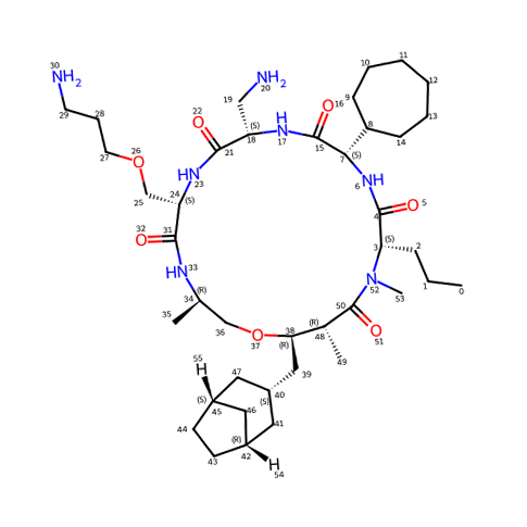 CCC[C@H]1C(=O)N[C@@H](C2CCCCCC2)C(=O)N[C@@H](CN)C(=O)N[C@@H](COCCCN)C(=O)N[C@H](C)CO[C@H](C[C@@H]2C[C@@H]3CC[C@@H](C3)C2)[C@@H](C)C(=O)N1C